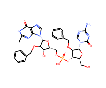 Cc1nc2c(ncn2[C@@H]2O[C@H](COP(=O)(O)O[C@@H]3C(OCc4ccccc4)[C@H](n4cnc(N)nc4=O)O[C@@H]3CO)[C@H](O)C2OCc2ccccc2)c(=O)[nH]1